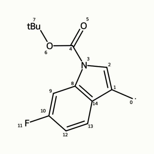 [CH2]c1cn(C(=O)OC(C)(C)C)c2cc(F)ccc12